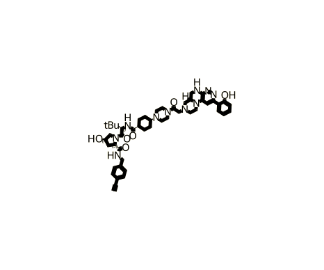 C#Cc1ccc(CNC(=O)[C@@H]2C[C@@H](O)CN2C(=O)[C@@H](NC(=O)[C@H]2CC[C@@H](N3CCN(C(=O)CN4CCN5c6cc(-c7ccccc7O)nnc6NC[C@H]5C4)CC3)CC2)C(C)(C)C)cc1